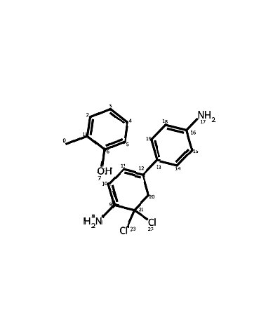 Cc1ccccc1O.NC1=CC=C(c2ccc(N)cc2)CC1(Cl)Cl